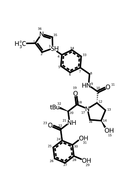 CC1=C[SH](c2ccc(CNC(=O)[C@@H]3C[C@@H](O)CN3C(=O)[C@@H](NC(=O)c3cccc(O)c3O)C(C)(C)C)cc2)C=N1